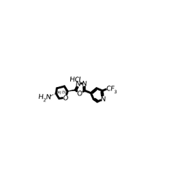 Cl.N[C@@H]1CC[C@@H](c2nnc(-c3ccnc(C(F)(F)F)c3)o2)OC1